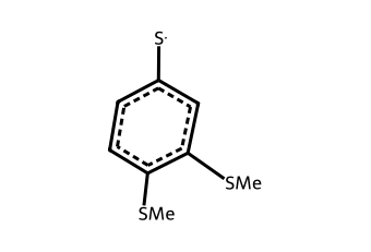 CSc1ccc([S])cc1SC